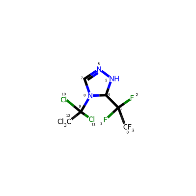 FC(F)(F)C(F)(F)C1NN=CN1C(Cl)(Cl)C(Cl)(Cl)Cl